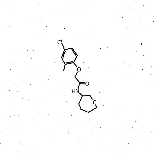 Cc1cc(Cl)ccc1OCC(=O)NC1CCCCCC1